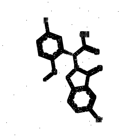 COc1ccc(F)cc1[C@H](C(=O)O)N1Cc2ccc(Br)cc2C1=O